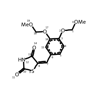 COCOc1ccc(C=C2SC(=O)NC2=O)cc1OCOC